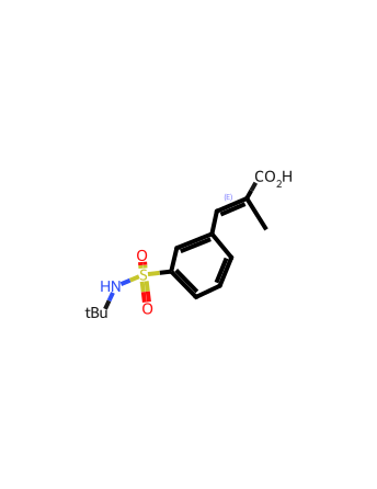 C/C(=C\c1cccc(S(=O)(=O)NC(C)(C)C)c1)C(=O)O